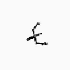 CCCCOP(C)(=O)OCC